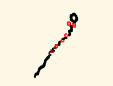 CCCCCCCCOCCOCCOCCOCCCC(=O)OC1CCCCC1